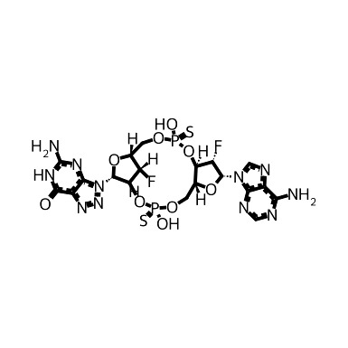 Nc1nc2c(nnn2[C@@H]2O[C@@H]3COP(O)(=S)O[C@H]4[C@H](F)[C@H](n5cnc6c(N)ncnc65)O[C@@H]4COP(O)(=S)O[C@@H]2[C@H]3F)c(=O)[nH]1